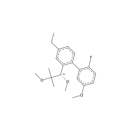 CCc1ccc(-c2cc(OC)ccc2F)c([C@H](OC)C(C)(C)OC)c1